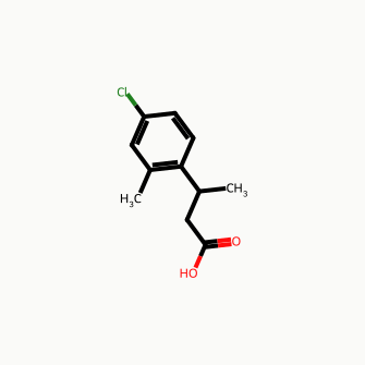 Cc1cc(Cl)ccc1C(C)CC(=O)O